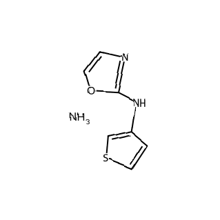 N.c1coc(Nc2ccsc2)n1